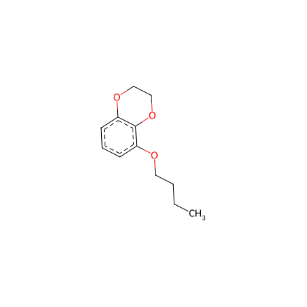 CCCCOc1cccc2c1OCCO2